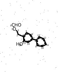 O=COCCc1ccc(-c2ccccc2)cc1O